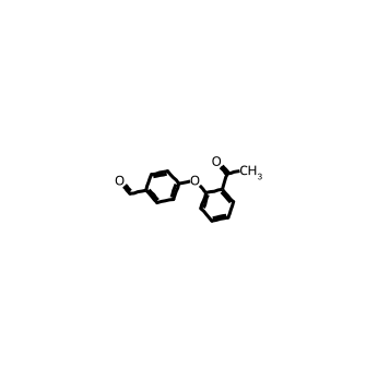 CC(=O)c1ccccc1Oc1ccc(C=O)cc1